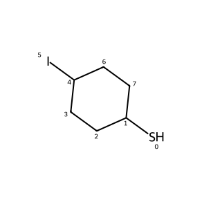 SC1CCC(I)CC1